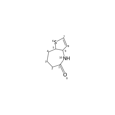 O=C1CCCC2SC=CC2N1